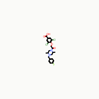 CC1CN(C(=O)COc2c(Cl)cc(C(=O)O)cc2Cl)C(C)CN1Cc1ccc(F)cc1